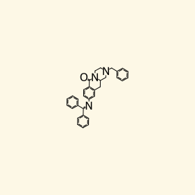 O=C1c2ccc(N=C(c3ccccc3)c3ccccc3)cc2CC2CN(Cc3ccccc3)CCN12